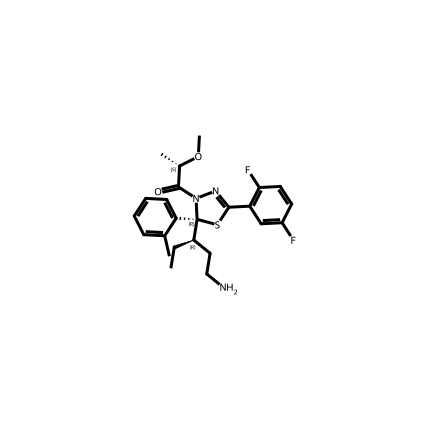 CC[C@H](CCN)[C@]1(c2ccccc2C)SC(c2cc(F)ccc2F)=NN1C(=O)[C@H](C)OC